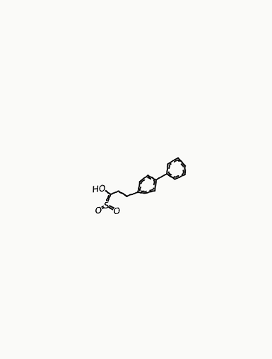 O=S(=O)=C(O)CCc1ccc(-c2ccccc2)cc1